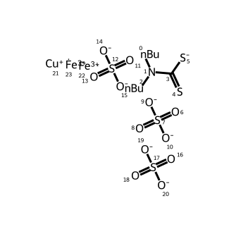 CCCCN(CCCC)C(=S)[S-].O=S(=O)([O-])[O-].O=S(=O)([O-])[O-].O=S(=O)([O-])[O-].[Cu+].[Fe+3].[Fe+3]